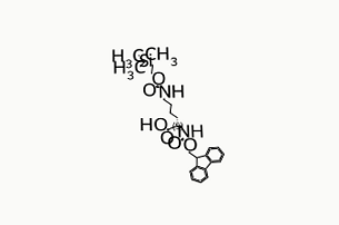 C[Si](C)(C)CCOC(=O)NCCCC[C@H](NC(=O)OCC1c2ccccc2-c2ccccc21)C(=O)O